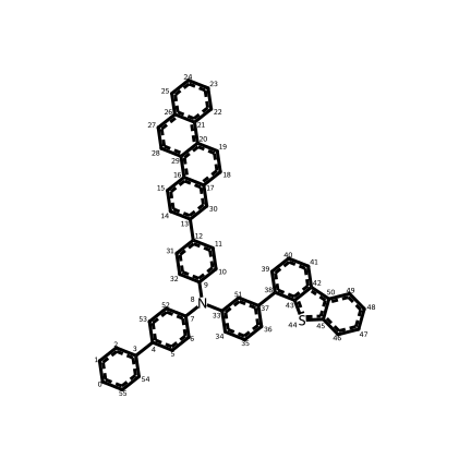 c1ccc(-c2ccc(N(c3ccc(-c4ccc5c(ccc6c7ccccc7ccc56)c4)cc3)c3cccc(-c4cccc5c4sc4ccccc45)c3)cc2)cc1